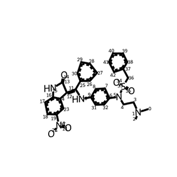 CN(C)CCN(c1ccc(NC(=C2C(=O)Nc3ccc([N+](=O)[O-])cc32)c2ccccc2)cc1)S(=O)(=O)Cc1ccccc1